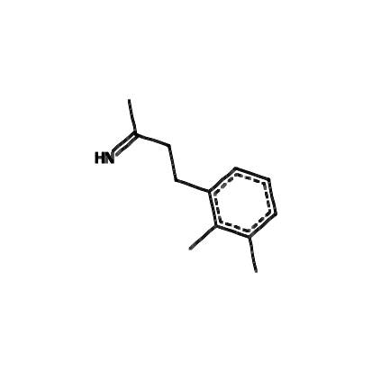 CC(=N)CCc1cccc(C)c1C